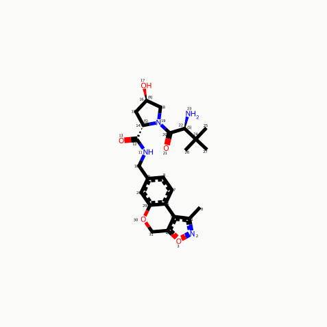 Cc1noc2c1-c1ccc(CNC(=O)[C@@H]3C[C@@H](O)CN3C(=O)[C@@H](N)C(C)(C)C)cc1OC2